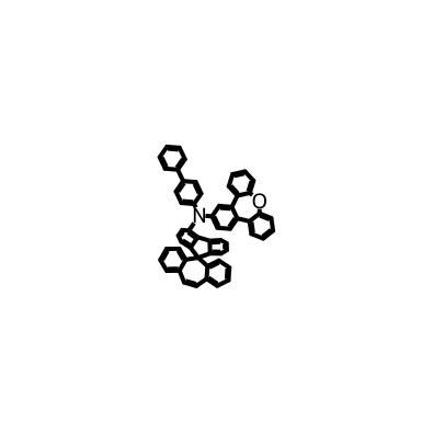 C1=Cc2ccccc2C2(c3ccccc31)c1ccccc1-c1c(N(c3ccc(-c4ccccc4)cc3)c3ccc4c(c3)-c3ccccc3Oc3ccccc3-4)cccc12